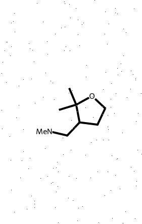 CNCC1CCOC1(C)C